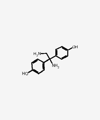 NCC(N)(c1ccc(O)cc1)c1ccc(O)cc1